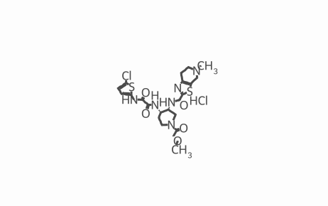 COCC(=O)N1CC[C@H](NC(=O)C(=O)Nc2ccc(Cl)s2)[C@H](NC(=O)c2nc3c(s2)CN(C)CC3)C1.Cl